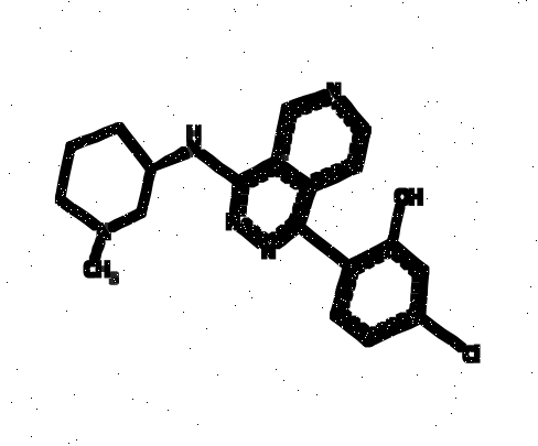 CN1CCC[C@@H](Nc2nnc(-c3ccc(Cl)cc3O)c3ccncc23)C1